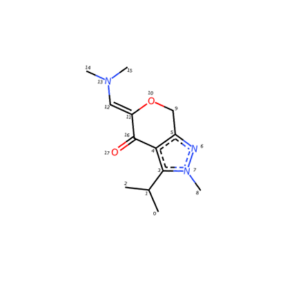 CC(C)c1c2c(nn1C)CO/C(=C\N(C)C)C2=O